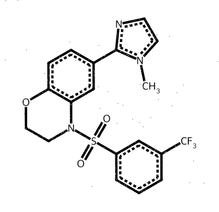 Cn1ccnc1-c1ccc2c(c1)N(S(=O)(=O)c1cccc(C(F)(F)F)c1)CCO2